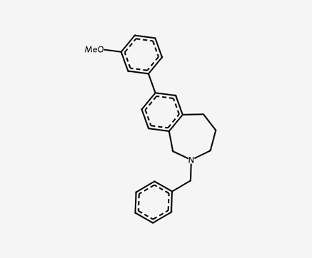 COc1cccc(-c2ccc3c(c2)CCCN(Cc2ccccc2)C3)c1